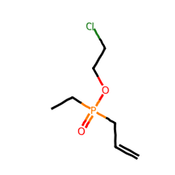 C=CCP(=O)(CC)OCCCl